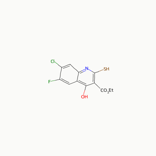 CCOC(=O)c1c(S)nc2cc(Cl)c(F)cc2c1O